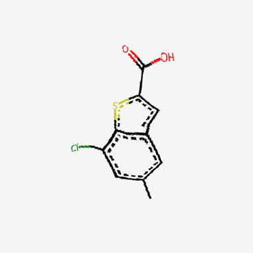 Cc1cc(Cl)c2sc(C(=O)O)cc2c1